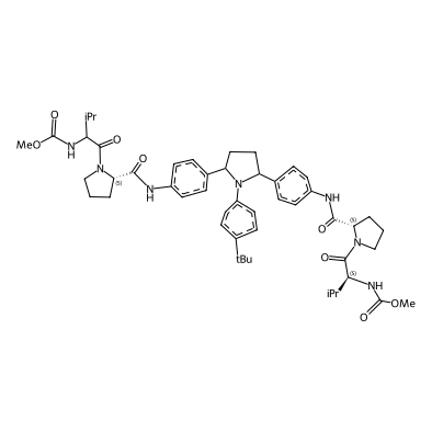 COC(=O)NC(C(=O)N1CCC[C@H]1C(=O)Nc1ccc(C2CCC(c3ccc(NC(=O)[C@@H]4CCCN4C(=O)[C@@H](NC(=O)OC)C(C)C)cc3)N2c2ccc(C(C)(C)C)cc2)cc1)C(C)C